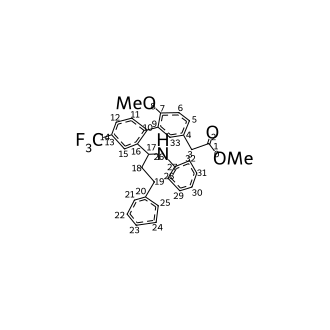 COC(=O)Cc1ccc(OC)c(-c2ccc(C(F)(F)F)cc2C(CCc2ccccc2)Nc2ccccc2)c1